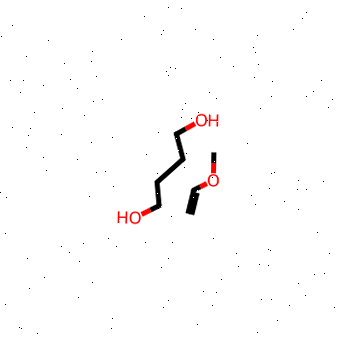 C=COC.OCCCCO